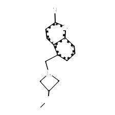 COC1CN(Cc2cccc3nc(N)ccc23)C1